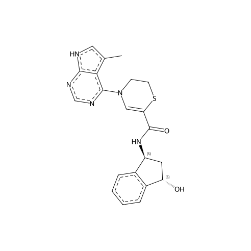 Cc1c[nH]c2ncnc(N3C=C(C(=O)N[C@H]4C[C@H](O)c5ccccc54)SCC3)c12